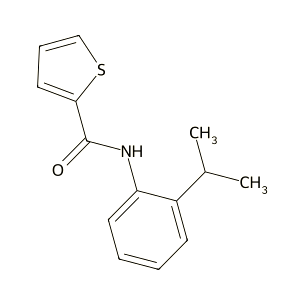 CC(C)c1ccccc1NC(=O)c1cccs1